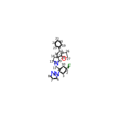 Fc1ccc(-n2cccn2)c(CN2CCC(CCc3ccccc3)(C3CCCO3)C2)c1